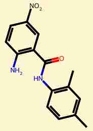 Cc1ccc(NC(=O)c2cc([N+](=O)[O-])ccc2N)c(C)c1